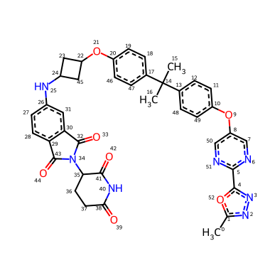 Cc1nnc(-c2ncc(Oc3ccc(C(C)(C)c4ccc(OC5CC(Nc6ccc7c(c6)C(=O)N(C6CCC(=O)NC6=O)C7=O)C5)cc4)cc3)cn2)o1